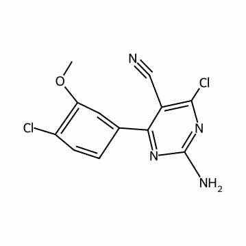 COc1cc(-c2nc(N)nc(Cl)c2C#N)ccc1Cl